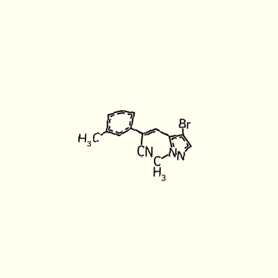 Cc1cccc(/C(C#N)=C/c2c(Br)cnn2C)c1